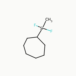 C[Si](F)(F)C1CCCCCC1